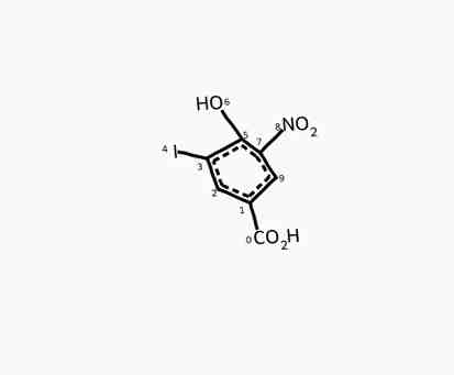 O=C(O)c1cc(I)c(O)c([N+](=O)[O-])c1